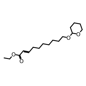 CCOC(=O)/C=C/CCCCCCCOC1CCCCO1